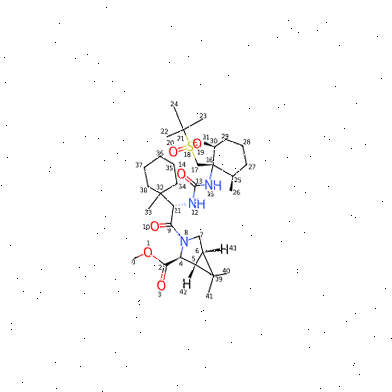 COC(=O)[C@@H]1[C@@H]2[C@H](CN1C(=O)[C@@H](NC(=O)N[C@@]1(CS(=O)(=O)C(C)(C)C)[C@H](C)CCC[C@@H]1C)C1(C)CCCCC1)C2(C)C